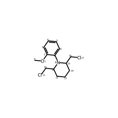 COc1ccccc1N1C(CCl)CCCC1CCl